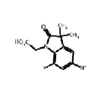 CC1(C)C(=O)N(CC(=O)O)c2c(F)cc(Br)cc21